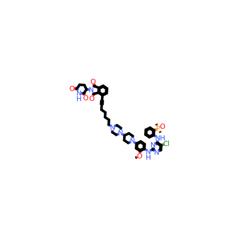 COc1cc(N2CCC(N3CCN(CCCCCC#Cc4cccc5c4C(=O)N(C4CCC(=O)NC4=O)C5=O)CC3)CC2)ccc1Nc1ncc(Cl)c(Nc2ccccc2P(C)(C)=O)n1